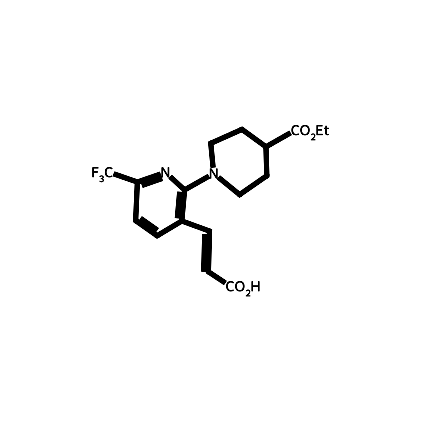 CCOC(=O)C1CCN(c2nc(C(F)(F)F)ccc2C=CC(=O)O)CC1